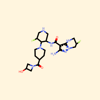 Nc1nn2c(c1C(=O)NC1CNCC(F)C1N1CCC(C(=O)N3CC(O)C3)CC1)NCC(F)C2